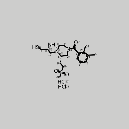 Cc1cccc(C(=O)N2CCN(C[C@@H](N)CS)[C@@H](CCS(C)(=O)=O)C2)c1C.Cl.Cl